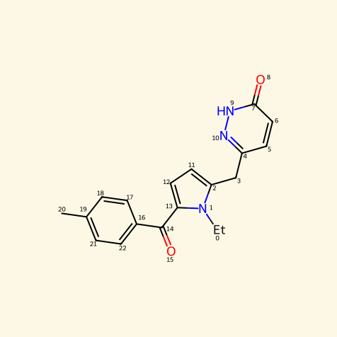 CCn1c(Cc2ccc(=O)[nH]n2)ccc1C(=O)c1ccc(C)cc1